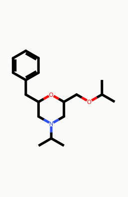 CC(C)OCC1CN(C(C)C)CC(Cc2ccccc2)O1